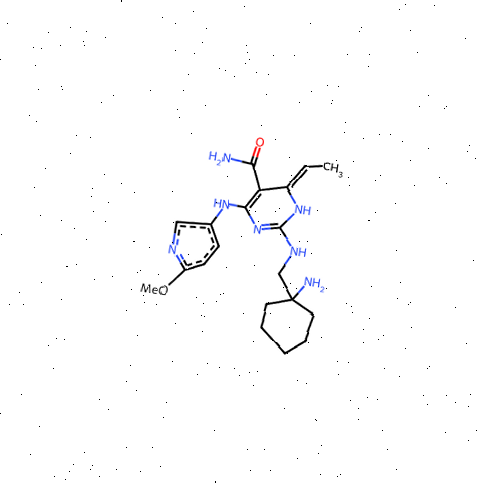 CC=C1NC(NCC2(N)CCCCC2)=NC(Nc2ccc(OC)nc2)=C1C(N)=O